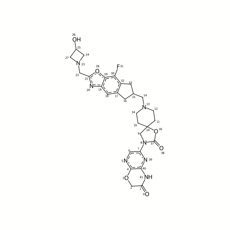 O=C1COc2ncc(N3CC4(CCN(CC5Cc6cc7nc(CN8CC(O)C8)oc7c(F)c6C5)CC4)OC3=O)nc2N1